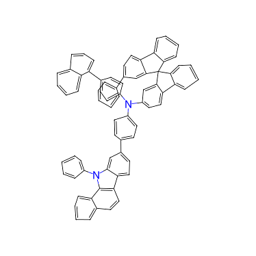 c1ccc(-c2ccc3c(c2)C2(c4ccccc4-3)c3ccccc3-c3ccc(N(c4ccc(-c5ccc6c7ccc8ccccc8c7n(-c7ccccc7)c6c5)cc4)c4ccc(-c5cccc6ccccc56)cc4)cc32)cc1